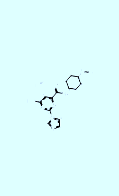 CCN[C@H]1CC[C@H](NC(=O)c2cc(C)nc(-n3ccnc3)n2)CC1.O=CO